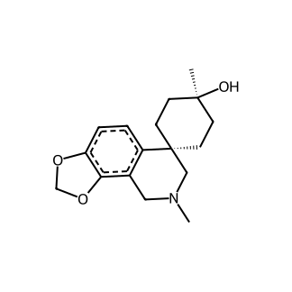 CN1Cc2c3c(ccc2[C@]2(CC[C@](C)(O)CC2)C1)OCO3